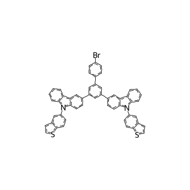 Brc1ccc(-c2cc(-c3ccc4c(c3)c3ccccc3n4-c3ccc4sccc4c3)cc(-c3ccc4c(c3)c3ccccc3n4-c3ccc4sccc4c3)c2)cc1